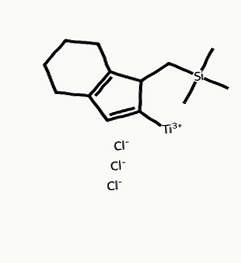 C[Si](C)(C)CC1[C]([Ti+3])=CC2=C1CCCC2.[Cl-].[Cl-].[Cl-]